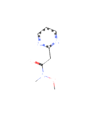 CON(C)C(=O)Cc1ncccn1